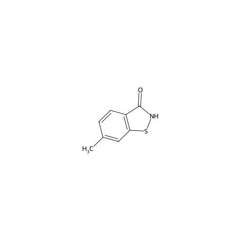 Cc1ccc2c(=O)[nH]sc2c1